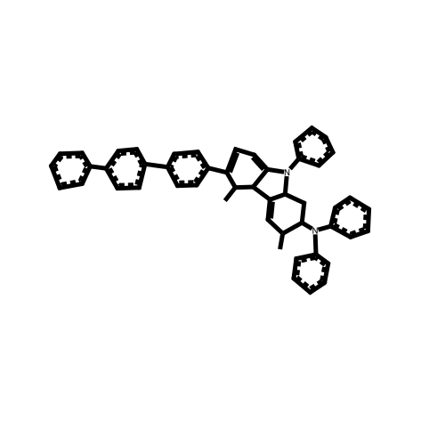 CC1C=C2C3C(=CC=C(c4ccc(-c5ccc(-c6ccccc6)cc5)cc4)C3C)N(c3ccccc3)C2CC1N(c1ccccc1)c1ccccc1